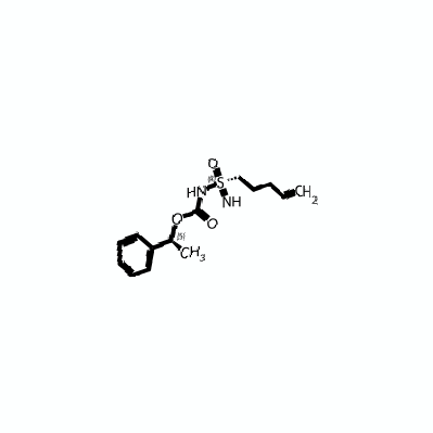 C=CCCC[S@@](=N)(=O)NC(=O)O[C@@H](C)c1ccccc1